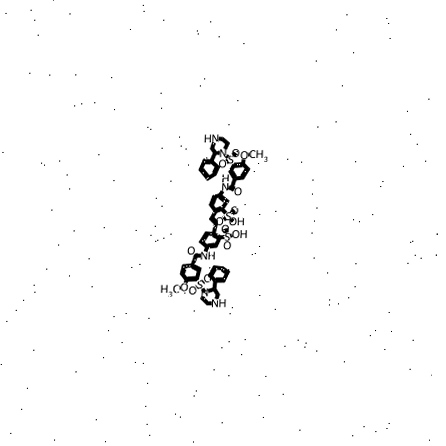 COc1ccc(C(=O)Nc2ccc(/C=C/c3ccc(NC(=O)c4ccc(OC)c(S(=O)(=O)N5CCNCC5c5ccccc5)c4)cc3S(=O)(=O)O)c(S(=O)(=O)O)c2)cc1S(=O)(=O)N1CCNCC1c1ccccc1